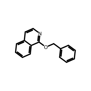 c1ccc(COc2nccc3ccccc23)cc1